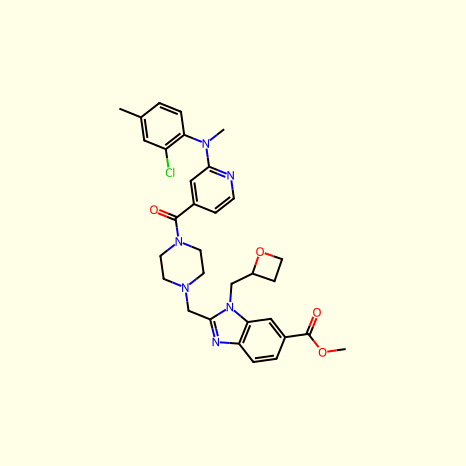 COC(=O)c1ccc2nc(CN3CCN(C(=O)c4ccnc(N(C)c5ccc(C)cc5Cl)c4)CC3)n(CC3CCO3)c2c1